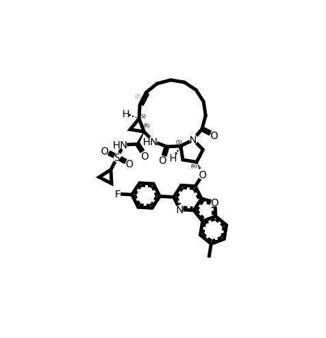 Cc1ccc2oc3c(O[C@@H]4C[C@H]5C(=O)N[C@]6(C(=O)NS(=O)(=O)C7CC7)C[C@H]6/C=C\CCCCCCC(=O)N5C4)cc(-c4ccc(F)cc4)nc3c2c1